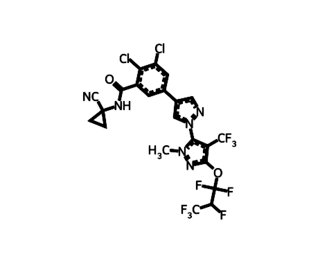 Cn1nc(OC(F)(F)C(F)C(F)(F)F)c(C(F)(F)F)c1-n1cc(-c2cc(Cl)c(Cl)c(C(=O)NC3(C#N)CC3)c2)cn1